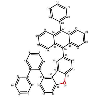 c1ccc(-c2ccccc2-c2cccc3oc4ccc(-c5c6ccccc6c(-c6ccccc6)c6ccccc56)cc4c23)cc1